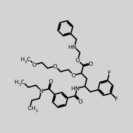 CCCN(CCC)C(=O)c1cccc(C(=O)NC(Cc2cc(F)cc(F)c2)CC(OCCOCCOC)C(=O)OCNCc2ccccc2)c1